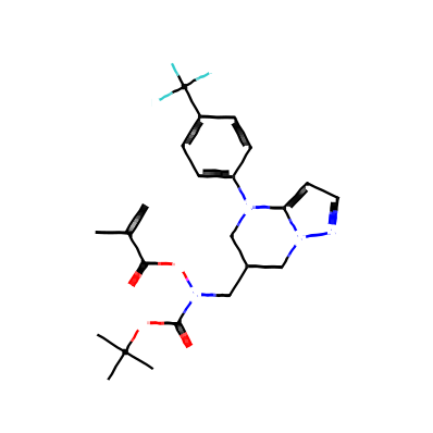 C=C(C)C(=O)ON(CC1CN(c2ccc(C(F)(F)F)cc2)c2ccnn2C1)C(=O)OC(C)(C)C